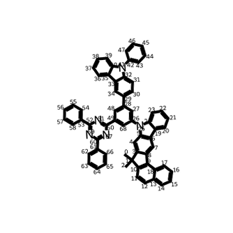 CC1(C)c2cc3c(cc2-c2c1ccc1ccccc21)c1ccccc1n3-c1cc(-c2ccc3c(c2)c2ccccc2n3-c2ccccc2)cc(-c2nc(-c3ccccc3)nc(-c3ccccc3)n2)c1